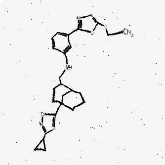 CCOc1nnc(-c2cccc(NCC3CCC4(c5nc(C6CC6)no5)CCCC3C4)c2)o1